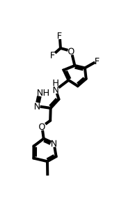 Cc1ccc(OC/C(=C/Nc2ccc(F)c(OC(F)F)c2)N=N)nc1